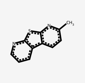 Cc1ccc2c(n1)sc1ncccc12